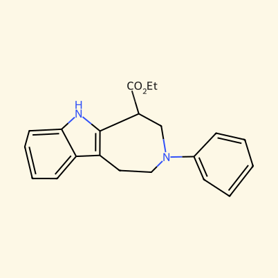 CCOC(=O)C1CN(c2ccccc2)CCc2c1[nH]c1ccccc21